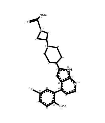 CNC(=O)N1CC(N2CCC(c3cc4c(-c5cc(F)ccc5OC)ccnc4[nH]3)CC2)C1